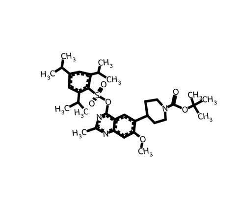 COc1cc2nc(C)nc(OS(=O)(=O)c3c(C(C)C)cc(C(C)C)cc3C(C)C)c2cc1C1CCN(C(=O)OC(C)(C)C)CC1